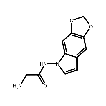 NCC(=O)Nn1ccc2cc3c(cc21)OCO3